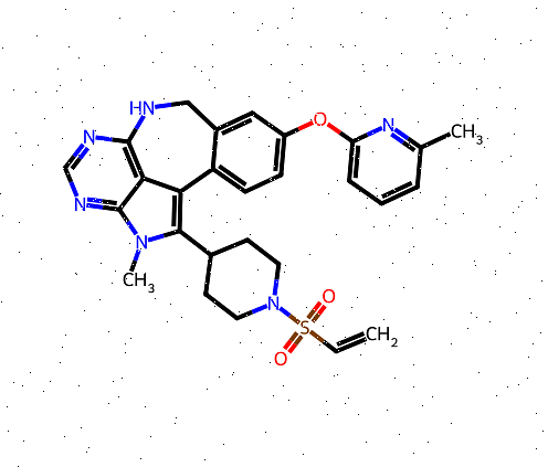 C=CS(=O)(=O)N1CCC(c2c3c4c(ncnc4n2C)NCc2cc(Oc4cccc(C)n4)ccc2-3)CC1